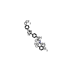 Cc1cccc(Cl)c1N/C(S)=N/C(=O)Nc1ccc(-c2ncn(-c3ccc(OC(F)(F)F)cc3)n2)cc1